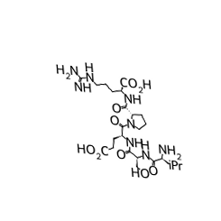 CC(C)[C@H](N)C(=O)N[C@@H](CO)C(=O)N[C@@H](CCC(=O)O)C(=O)N1CCC[C@H]1C(=O)N[C@@H](CCCNC(=N)N)C(=O)O